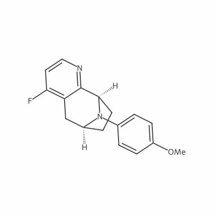 COc1ccc(N2[C@H]3CC[C@@H]2c2nccc(F)c2C3)cc1